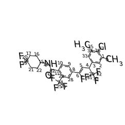 Cc1cc(C(C=C(F)c2ccc(C(=O)NC3CCC(F)(F)CC3)c(C(F)(F)F)c2)C(F)(F)F)cc(C)c1Cl